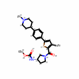 CCCc1cc(-c2ccc(C3CCN(C(C)C)CC3)cc2)sc1C(=O)N1CC[C@H](NC(=O)OC(C)(C)C)C1